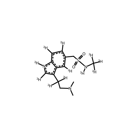 [2H]c1c(CS(=O)(=O)N([2H])C([2H])([2H])[2H])c([2H])c2c(C([2H])([2H])CN(C)C)c([2H])n([2H])c2c1[2H]